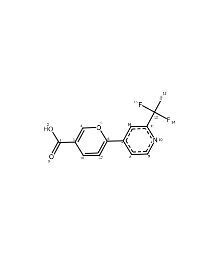 O=C(O)C1=COC(c2ccnc(C(F)(F)F)c2)=C=C1